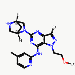 CCOCCn1nc(CC)c2nc(N3C[C@@H]4C[C@H]3CN4)nc(Nc3cc(C)ccn3)c21